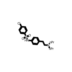 CCCN(CCC)CCc1ccc(NS(=O)(=O)c2ccc(Cl)cc2)cc1